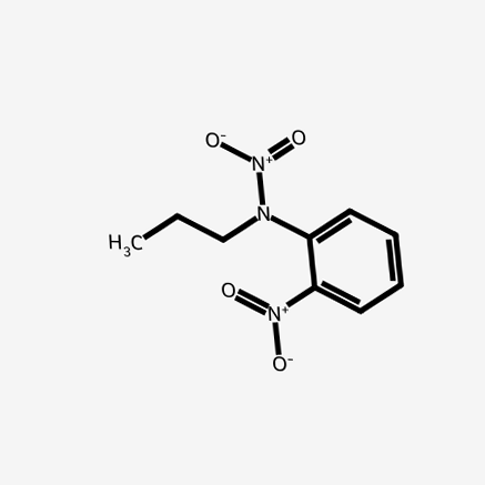 CCCN(c1ccccc1[N+](=O)[O-])[N+](=O)[O-]